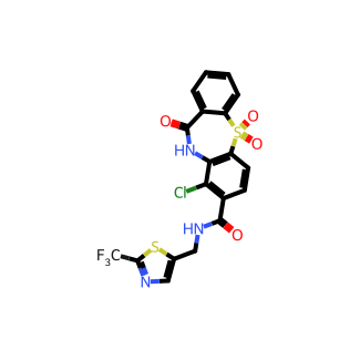 O=C1Nc2c(ccc(C(=O)NCc3cnc(C(F)(F)F)s3)c2Cl)S(=O)(=O)c2ccccc21